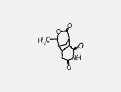 CC1OC(=O)C2CC1C1CC(=O)NC(=O)C21